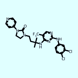 CC(C)(CCN1CCN(c2ccncc2)C1=O)Nc1nc(Nc2ccc(Cl)c(Cl)c2)ncc1C(F)(F)F